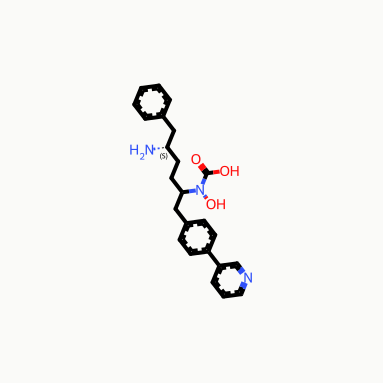 N[C@@H](CCC(Cc1ccc(-c2cccnc2)cc1)N(O)C(=O)O)Cc1ccccc1